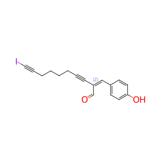 O=C/C(C#CCCCCC#CI)=C\c1ccc(O)cc1